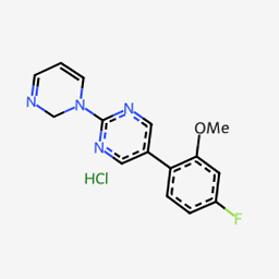 COc1cc(F)ccc1-c1cnc(N2C=CC=NC2)nc1.Cl